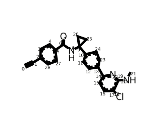 C#Cc1ccc(C(=O)NC2(c3ccc(-c4ccc(Cl)c(NC)n4)cc3)CC2)cc1